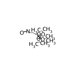 CC(C)O[Si](OCCCN=C=O)(OC(C)C)OC(C)C